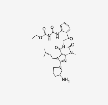 CCOC(=O)NC(=O)Nc1ccccc1C(=O)Cn1c(=O)c2c(nc(N3CCCC(N)C3)n2CC=C(C)C)n(C)c1=O